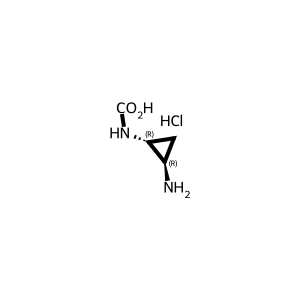 Cl.N[C@@H]1C[C@H]1NC(=O)O